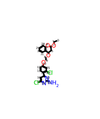 CCOC(=O)CC(OCCOc1ccc(-c2cc(Cl)nc(N)n2)c(Cl)c1)c1ccccc1